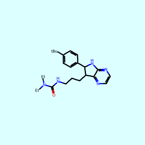 CCN(CC)C(=O)NCCCC1c2nccnc2NC1c1ccc(C(C)(C)C)cc1